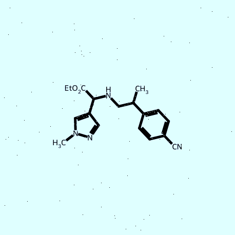 CCOC(=O)C(NCC(C)c1ccc(C#N)cc1)c1cnn(C)c1